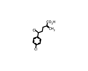 C=C(CCC(Cl)c1ccc(Cl)cc1)C(=O)O